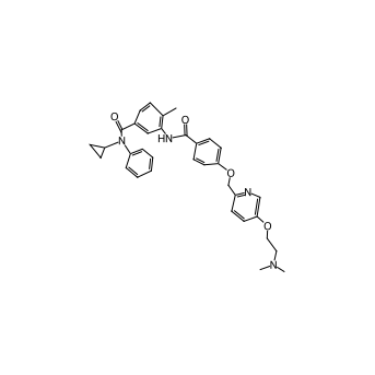 Cc1ccc(C(=O)N(c2ccccc2)C2CC2)cc1NC(=O)c1ccc(OCc2ccc(OCCN(C)C)cn2)cc1